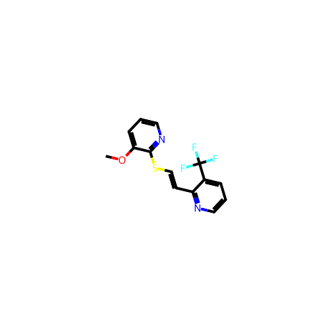 COc1cccnc1S/C=C/c1ncccc1C(F)(F)F